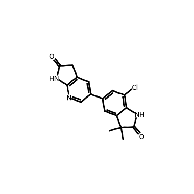 CC1(C)C(=O)Nc2c(Cl)cc(-c3cnc4c(c3)CC(=O)N4)cc21